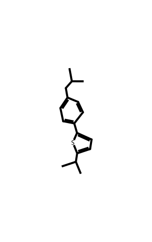 CC(C)Cc1ccc(-c2ccc(C(C)C)s2)cc1